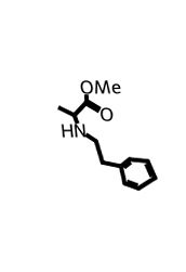 COC(=O)C(C)NCCc1ccccc1